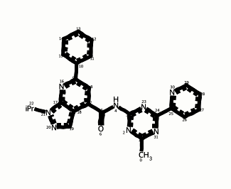 Cc1nc(NC(=O)c2cc(-c3ccccc3)nc3c2cnn3C(C)C)nc(-c2ccccn2)n1